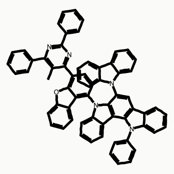 Cc1c(-c2ccccc2)nc(-c2ccccc2)nc1-c1ccc(-n2c3ccccc3c3c2c(-n2c4ccccc4c4ccccc42)cc2c4ccccc4n(-c4ccccc4)c23)c2c1oc1ccccc12